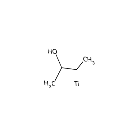 CCC(C)O.[Ti]